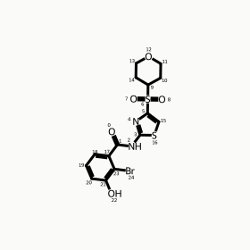 O=C(Nc1nc(S(=O)(=O)C2CCOCC2)cs1)c1cccc(O)c1Br